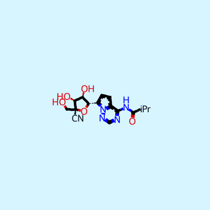 CC(C)C(=O)Nc1ncnn2c([C@@H]3O[C@](C#N)(CO)[C@@H](O)[C@H]3O)ccc12